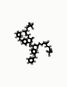 CC(=CC(OC(C=C(C)CC/C=C(/C)CCC1SC1(C)C)c1ccc(Cc2ccccc2)cc1)c1ccc(Cc2ccccc2)cc1)CC/C=C(/C)CCC1SC1(C)C